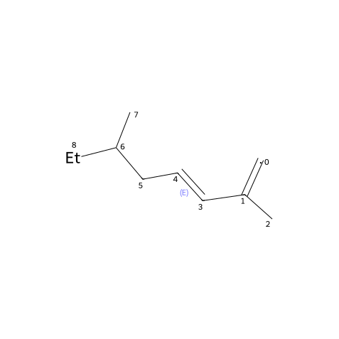 [CH]=C(C)/C=C/CC(C)CC